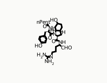 CCCCCC(=O)N[C@@H](Cc1ccc(O)cc1)C(=O)N1[C@H](C(=O)NC(C=O)CCCN=C(N)N)C[C@@H]2CCC(O)C[C@@H]21